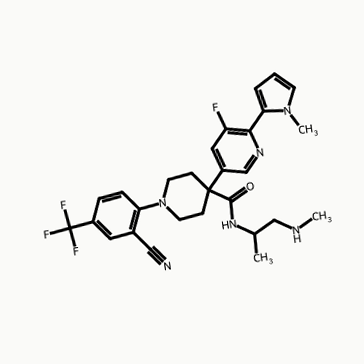 CNCC(C)NC(=O)C1(c2cnc(-c3cccn3C)c(F)c2)CCN(c2ccc(C(F)(F)F)cc2C#N)CC1